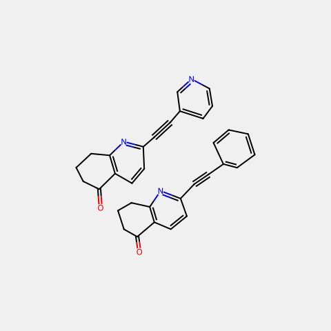 O=C1CCCc2nc(C#Cc3ccccc3)ccc21.O=C1CCCc2nc(C#Cc3cccnc3)ccc21